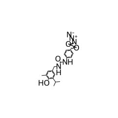 Cc1cc(CNC(=O)Nc2ccc(S(=O)(=O)N=[N+]=[N-])cc2)cc(C(C)C)c1O